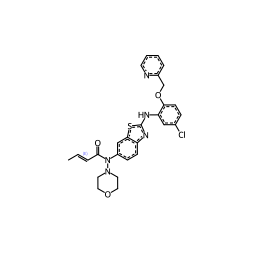 C/C=C/C(=O)N(c1ccc2nc(Nc3cc(Cl)ccc3OCc3ccccn3)sc2c1)N1CCOCC1